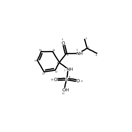 CC(C)NC(=O)C1(NS(=O)(=O)O)C=CC=CC1